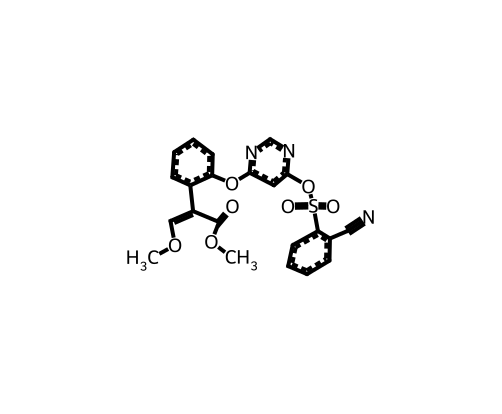 COC=C(C(=O)OC)c1ccccc1Oc1cc(OS(=O)(=O)c2ccccc2C#N)ncn1